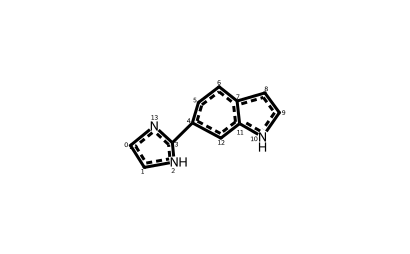 [c]1c[nH]c(-c2ccc3cc[nH]c3c2)n1